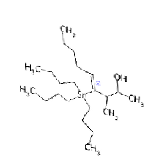 CCCC/C=[C](/C(C)C(C)O)[Sn]([CH2]CCC)([CH2]CCC)[CH2]CCC